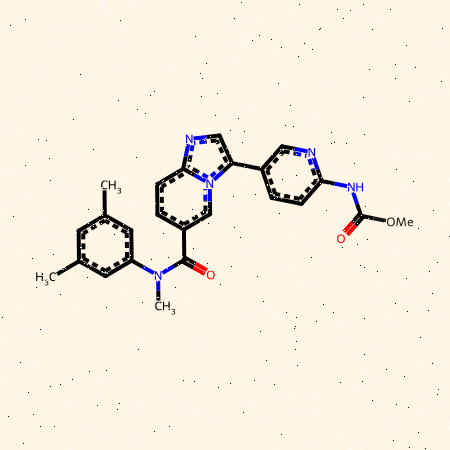 COC(=O)Nc1ccc(-c2cnc3ccc(C(=O)N(C)c4cc(C)cc(C)c4)cn23)cn1